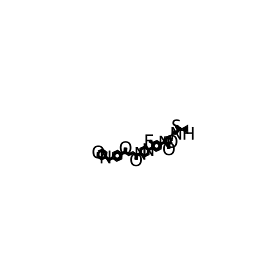 O=C(CCC(=O)N1CCN(c2ccc(N3C[C@H](CNC(=S)C4CC4)OC3=O)cc2F)CC1)c1ccc(CN2CCOCC2)cc1